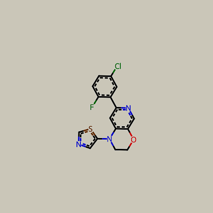 Fc1ccc(Cl)cc1-c1cc2c(cn1)OCCN2c1cncs1